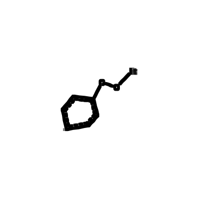 CCOOc1cc[c]cc1